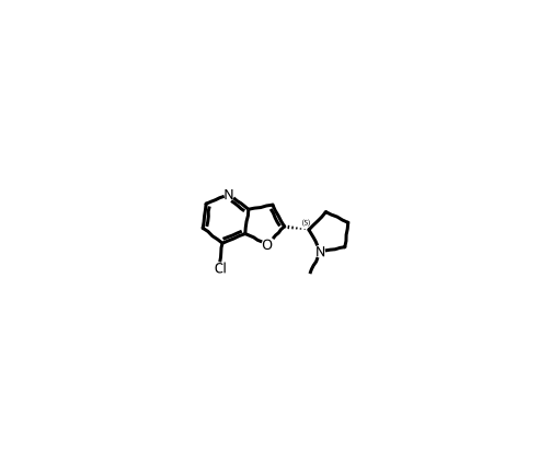 CN1CCC[C@H]1c1cc2nccc(Cl)c2o1